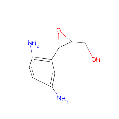 Nc1ccc(N)c(C2OC2CO)c1